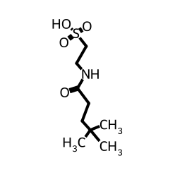 CC(C)(C)CCC(=O)NCCS(=O)(=O)O